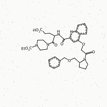 CCOC(=O)N1CCN(C(=O)C(CCC(=O)O)NC(=O)c2cc(OCC(=O)N3CCCC3COCc3ccccc3)c3ccccc3n2)CC1